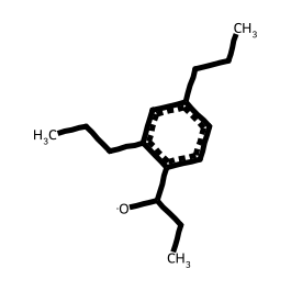 CCCc1ccc(C([O])CC)c(CCC)c1